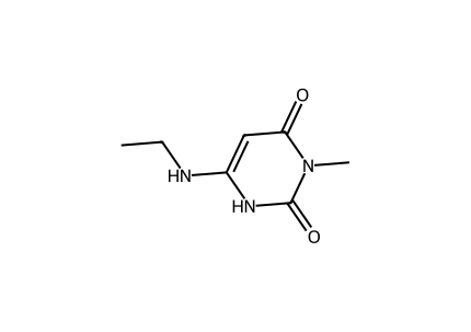 CCNc1cc(=O)n(C)c(=O)[nH]1